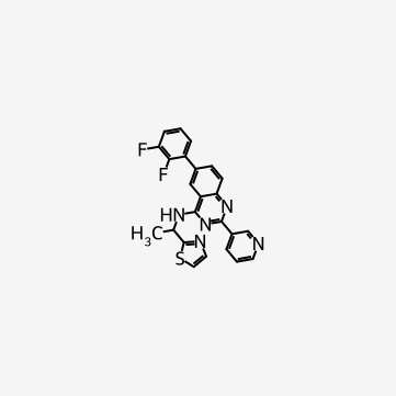 CC(Nc1nc(-c2cccnc2)nc2ccc(-c3cccc(F)c3F)cc12)c1nccs1